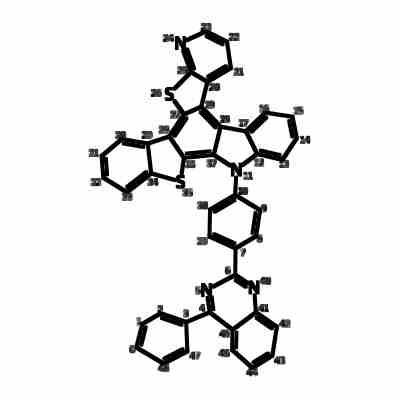 c1ccc(-c2nc(-c3ccc(-n4c5ccccc5c5c6c7cccnc7sc6c6c7ccccc7sc6c54)cc3)nc3ccccc23)cc1